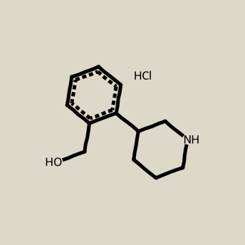 Cl.OCc1ccccc1C1CCCNC1